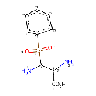 NC([C@@H](N)C(=O)O)S(=O)(=O)c1ccccc1